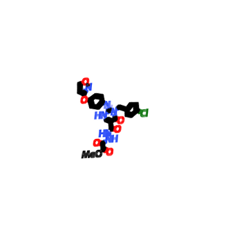 COC(=O)C(=O)NNC(=O)c1c[nH]/c(=N\c2ccc(Oc3ccon3)cc2)n(Cc2ccc(Cl)cc2)c1=O